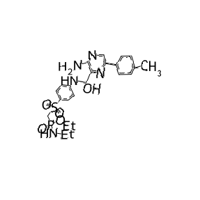 CCNP(=O)(CS(=O)(=O)c1ccc(NC(O)c2nc(-c3ccc(C)cc3)cnc2N)cc1)OCC